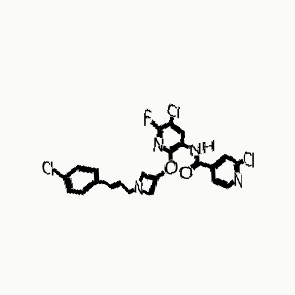 O=C(Nc1cc(Cl)c(F)nc1OC1CN(CC=Cc2ccc(Cl)cc2)C1)c1ccnc(Cl)c1